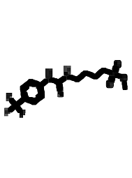 COS(=O)(=O)CCCCNC(=S)Nc1ccc(C(F)(F)F)cc1